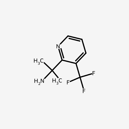 CC(C)(N)c1ncccc1C(F)(F)F